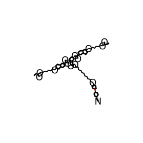 C=CC(=O)OCCCCCCOc1ccc2cc(C(=O)Oc3ccc(OC(=O)c4ccc5cc(OCCCCCCOC(=O)C=C)ccc5c4)c(C(=O)OCCCCCCCCCCCOc4ccc(-c5ccc(C#N)cc5)cc4)c3)ccc2c1